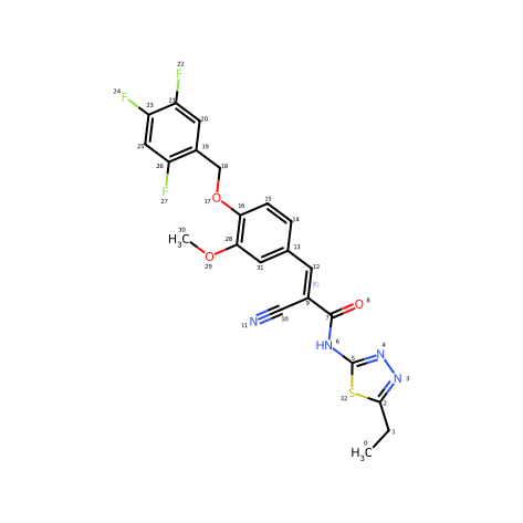 CCc1nnc(NC(=O)/C(C#N)=C/c2ccc(OCc3cc(F)c(F)cc3F)c(OC)c2)s1